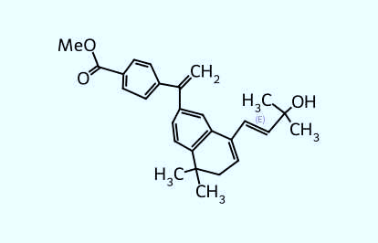 C=C(c1ccc(C(=O)OC)cc1)c1ccc2c(c1)C(/C=C/C(C)(C)O)=CCC2(C)C